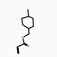 [CH2]C1CCC(COC(=O)C=C)CC1